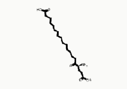 N[C@@H](CCC(=O)O)C(=O)CCCCCCCCCCCCCCC(=O)O